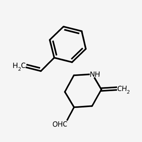 C=C1CC(C=O)CCN1.C=Cc1ccccc1